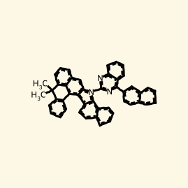 CC1(C)c2ccccc2-c2c3c1cccc3cc1c2c2ccc3ccccc3c2n1-c1nc(-c2ccc3ccccc3c2)c2ccccc2n1